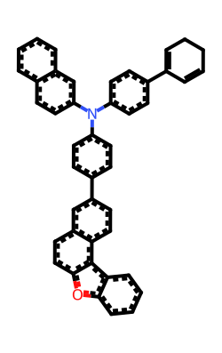 C1=CC(c2ccc(N(c3ccc(-c4ccc5c(ccc6oc7ccccc7c65)c4)cc3)c3ccc4ccccc4c3)cc2)=CCC1